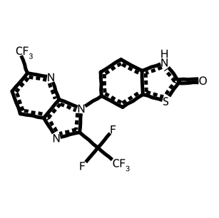 O=c1[nH]c2ccc(-n3c(C(F)(F)C(F)(F)F)nc4ccc(C(F)(F)F)nc43)cc2s1